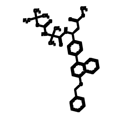 COC(=O)C[C@H](NC(=O)C(C)(C)NC(=O)OC(C)(C)C)c1ccc(-c2ccc(OCc3ccccc3)c3ccccc23)cc1